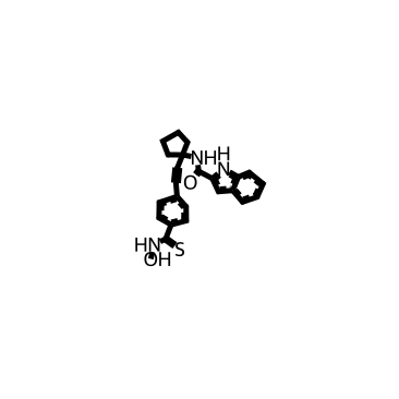 O=C(NC1(C#Cc2ccc(C(=S)NO)cc2)CCCC1)c1cc2ccccc2[nH]1